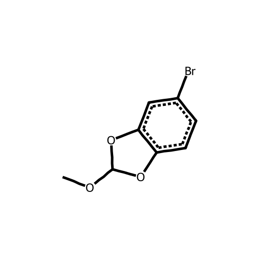 COC1Oc2ccc(Br)cc2O1